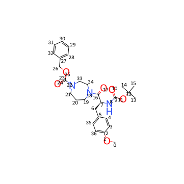 COc1ccc(C[C@H](NC(=O)OC(C)(C)C)C(=O)N2CCCN(C(=O)OCc3ccccc3)CC2)cc1